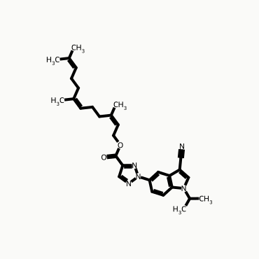 CC(C)=CCCC(C)=CCCC(C)=CCOC(=O)c1cnn(-c2ccc3c(c2)c(C#N)cn3C(C)C)n1